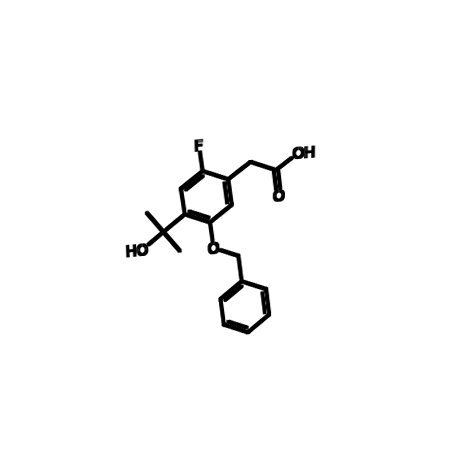 CC(C)(O)c1cc(F)c(CC(=O)O)cc1OCc1ccccc1